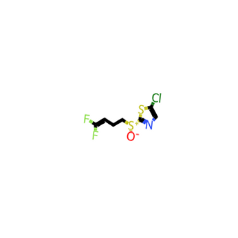 [O-][S+](CCC=C(F)F)c1ncc(Cl)s1